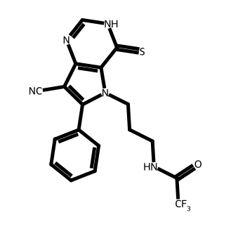 N#Cc1c(-c2ccccc2)n(CCCNC(=O)C(F)(F)F)c2c(=S)[nH]cnc12